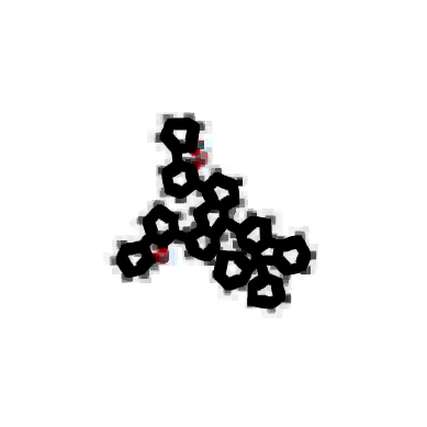 c1ccc(C2(c3ccccc3)c3ccccc3-c3ccc(-c4c5cccc(-c6cccc7c6oc6ccccc67)c5cc5c(-c6cccc7c6oc6ccccc67)cccc45)cc32)cc1